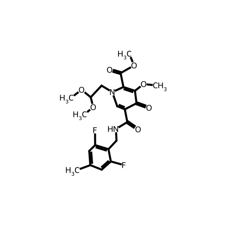 COC(=O)c1c(OC)c(=O)c(C(=O)NCc2c(F)cc(C)cc2F)cn1CC(OC)OC